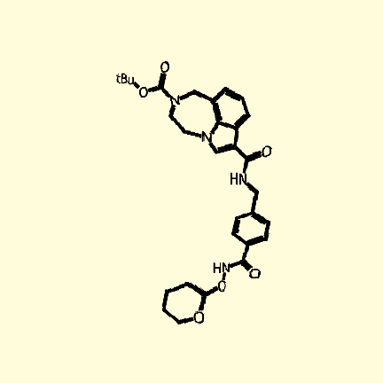 CC(C)(C)OC(=O)N1CCn2cc(C(=O)NCc3ccc(C(=O)NOC4CCCCO4)cc3)c3cccc(c32)C1